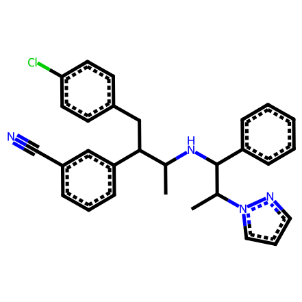 CC(NC(c1ccccc1)C(C)n1cccn1)C(Cc1ccc(Cl)cc1)c1cccc(C#N)c1